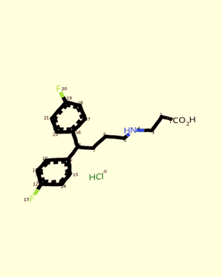 Cl.O=C(O)CCNCCCC(c1ccc(F)cc1)c1ccc(F)cc1